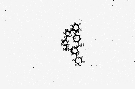 OC1CCC(Nc2nc(Nc3ncc(-c4nnc(-c5ccccc5)o4)s3)cc(N3CCOCC3)n2)CC1